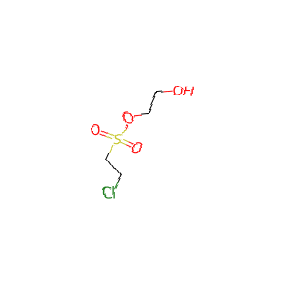 O=S(=O)(CCCl)OCCO